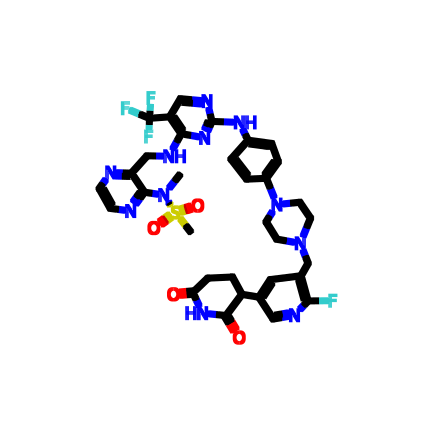 CN(c1nccnc1CNc1nc(Nc2ccc(N3CCN(Cc4cc(C5CCC(=O)NC5=O)cnc4F)CC3)cc2)ncc1C(F)(F)F)S(C)(=O)=O